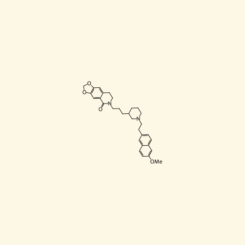 COc1ccc2cc(CCN3CCCC(CCCN4CCc5cc6c(cc5C4=O)OCO6)C3)ccc2c1